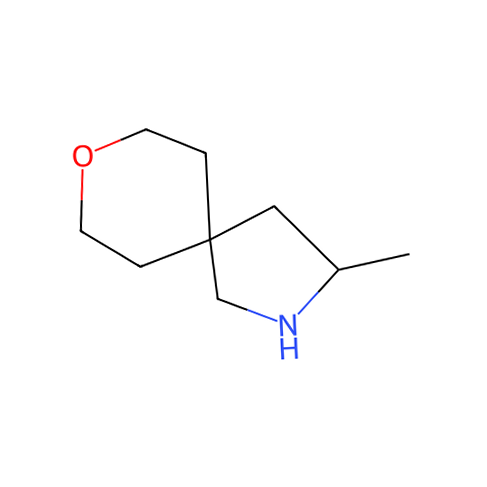 CC1CC2(CCOCC2)CN1